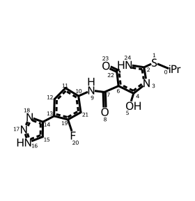 CC(C)Sc1nc(O)c(C(=O)Nc2ccc(-c3c[nH]nn3)c(F)c2)c(=O)[nH]1